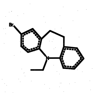 CCN1c2ccccc2CCc2cc(Br)ccc21